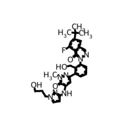 Cn1nc(-c2cccc(-n3ncc4cc(C(C)(C)C)cc(F)c4c3=O)c2CO)cc(Nc2ccn(CCCO)n2)c1=O